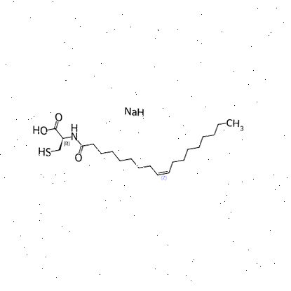 CCCCCCCC/C=C\CCCCCCCC(=O)N[C@@H](CS)C(=O)O.[NaH]